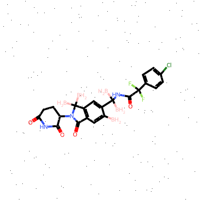 Bc1cc2c(cc1C(B)(B)NC(=O)C(F)(F)c1ccc(Cl)cc1)C(B)(B)N(C1CCC(=O)NC1=O)C2=O